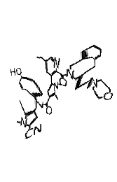 Cc1cnc(C(=O)N2Cc3ccccc3CC2CN2CCOCC2)c(-c2cc(C(=O)N(c3ccc(O)cc3)c3cc(C#N)n(C)c3C)c(C)n2C)c1